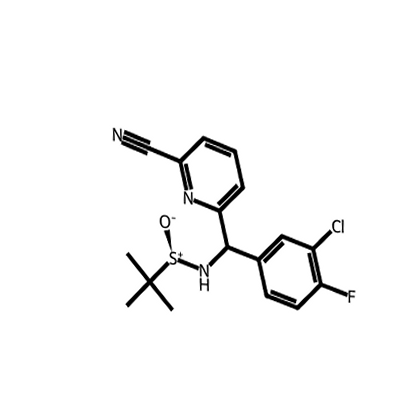 CC(C)(C)[S@@+]([O-])NC(c1ccc(F)c(Cl)c1)c1cccc(C#N)n1